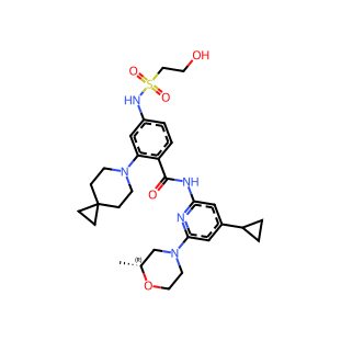 C[C@@H]1CN(c2cc(C3CC3)cc(NC(=O)c3ccc(NS(=O)(=O)CCO)cc3N3CCC4(CC3)CC4)n2)CCO1